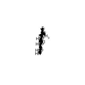 Cn1c(-c2cn(C3CC3(F)F)nc2C(F)(F)F)cnc1C(=O)Nc1ccc(C(=O)NC2C3CN(C(=O)N[C@H]4CCNC4)CC32)c(Cl)c1